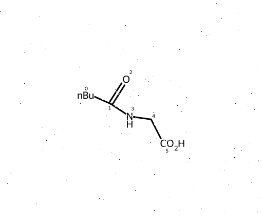 C[CH]CCC(=O)NCC(=O)O